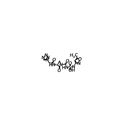 Cc1cc(NS(=O)(=O)NC(=O)N2C[C@H](NC(=O)Cn3cnnn3)C2=O)no1